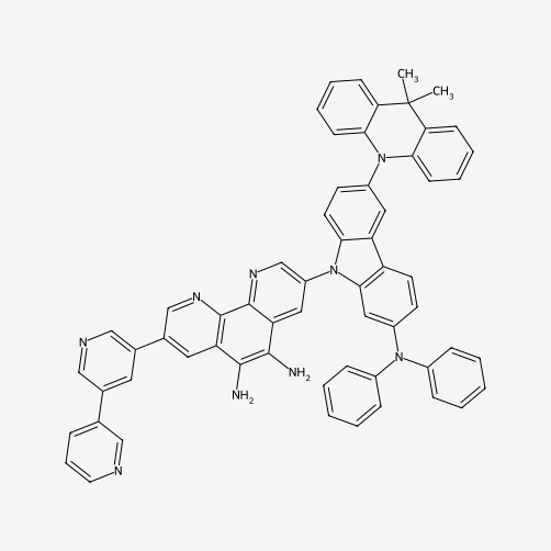 CC1(C)c2ccccc2N(c2ccc3c(c2)c2ccc(N(c4ccccc4)c4ccccc4)cc2n3-c2cnc3c(c2)c(N)c(N)c2cc(-c4cncc(-c5cccnc5)c4)cnc23)c2ccccc21